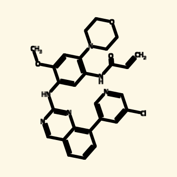 C=CC(=O)Nc1cc(Nc2ncc3cccc(-c4cncc(Cl)c4)c3n2)c(OC)cc1N1CCOCC1